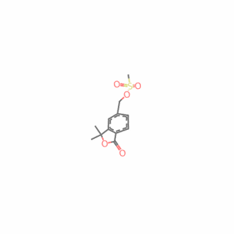 CC1(C)OC(=O)c2ccc(COS(C)(=O)=O)cc21